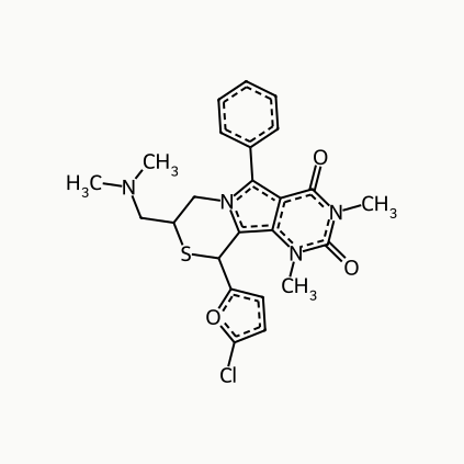 CN(C)CC1Cn2c(-c3ccccc3)c3c(=O)n(C)c(=O)n(C)c3c2C(c2ccc(Cl)o2)S1